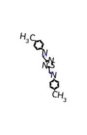 Cc1ccc(/N=C/c2nsc(/C=N/c3ccc(C)cc3)n2)cc1